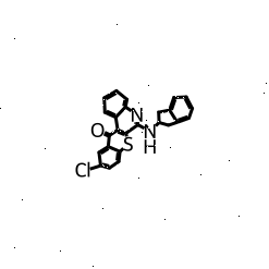 O=c1c2cc(Cl)ccc2sc2c(NC3Cc4ccccc4C3)nc3ccccc3c12